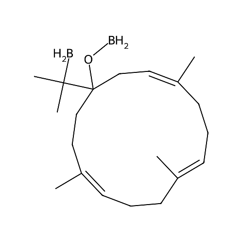 BOC1(C(B)(C)C)C/C=C(/C)CC/C=C(\C)CC/C=C(/C)CC1